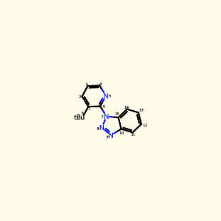 CC(C)(C)c1cccnc1-n1nnc2ccccc21